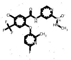 CN[S@@+]([O-])c1cc(NC(=O)c2cc(Cl)c(C(F)(F)F)cc2Oc2ccc(F)nc2C)ccn1